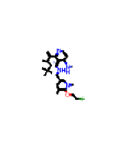 C=C(C1=NC=CC(NC)/C1=C\NCC1=CC(C)=C(OCCF)N(C)C1)C(C)CC(C)(C)C